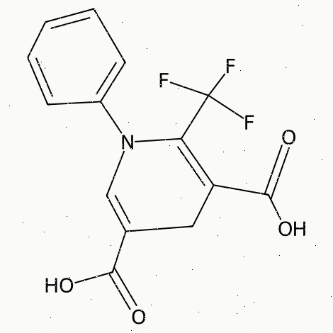 O=C(O)C1=CN(c2ccccc2)C(C(F)(F)F)=C(C(=O)O)C1